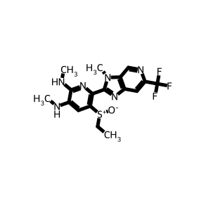 CC[S+]([O-])c1cc(NC)c(NC)nc1-c1nc2cc(C(F)(F)F)ncc2n1C